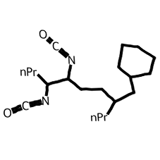 CCCC(CCC(N=C=O)C(CCC)N=C=O)CC1CCCCC1